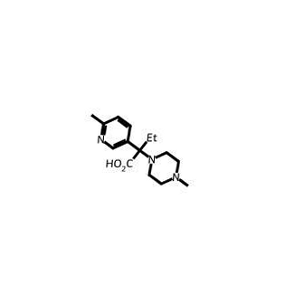 CCC(C(=O)O)(c1ccc(C)nc1)N1CCN(C)CC1